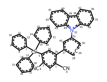 N#Cc1cc(C#N)c([Si](c2ccccc2)(c2ccccc2)c2ccccc2)cc1-c1cccc(-n2c3ccccc3c3ccccc32)c1